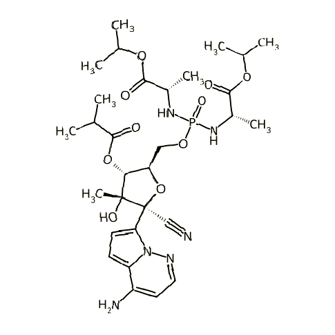 CC(C)OC(=O)[C@H](C)NP(=O)(N[C@@H](C)C(=O)OC(C)C)OC[C@H]1O[C@@](C#N)(c2ccc3c(N)ccnn23)[C@](C)(O)[C@@H]1OC(=O)C(C)C